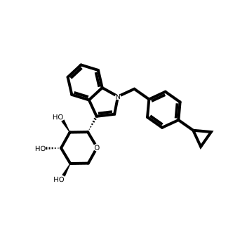 O[C@@H]1[C@@H](O)[C@H](c2cn(Cc3ccc(C4CC4)cc3)c3ccccc23)OC[C@H]1O